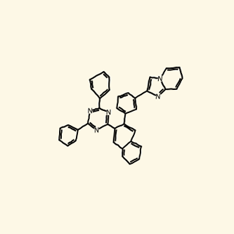 c1ccc(-c2nc(-c3ccccc3)nc(-c3cc4ccccc4cc3-c3cccc(-c4cn5ccccc5n4)c3)n2)cc1